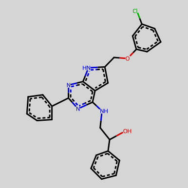 OC(CNc1nc(-c2ccccc2)nc2[nH]c(COc3cccc(Cl)c3)cc12)c1ccccc1